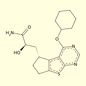 NC(=O)[C@H](O)C[C@H]1CCc2sc3ncnc(OC4CCCCC4)c3c21